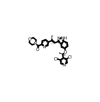 C[C@@H](Oc1ccc2[nH]nc(/C=C(\F)c3ccc(C(=O)N4CCOCC4)nc3)c2c1)c1c(Cl)cncc1Cl